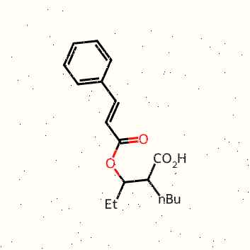 CCCCC(C(=O)O)C(CC)OC(=O)/C=C/c1ccccc1